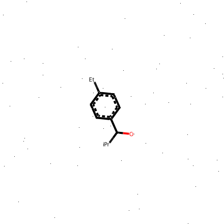 CCc1ccc(C([O])C(C)C)cc1